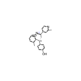 Cc1cc(/C(C[C@H](c2ccc(O)cc2)c2ccccc2C)=N/O)ccn1